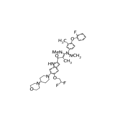 C=NN(/C(NC)=C(\C)C(=O)c1cc2cc(OCC(F)F)c(N3CCC(N4CCOCC4)CC3)cc2[nH]1)c1ccc(Oc2ccccc2F)c(C)c1